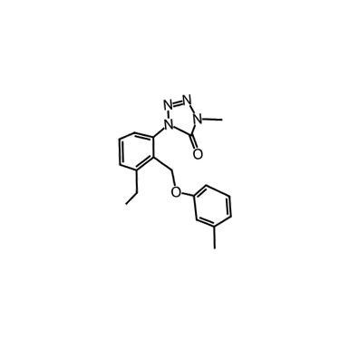 CCc1cccc(-n2nnn(C)c2=O)c1COc1cccc(C)c1